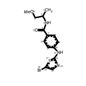 COCC(C)NC(=O)c1ccc(Nc2ncc(Br)s2)cc1